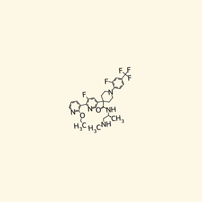 CCOc1ncccc1-c1ncc(C2(C(=O)N[C@@H](C)CNC)CCN(c3ccc(C(F)(F)F)cc3F)CC2)cc1F